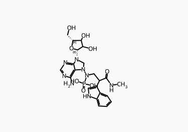 CNC(=O)C(CN(N1CN([C@@H]2O[C@H](CO)C(O)C2O)c2ncnc(N)c21)P(=O)(O)O)c1c[nH]c2ccccc12